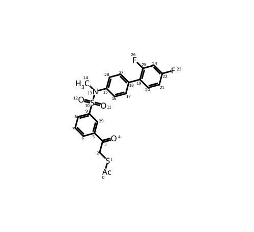 CC(=O)SCC(=O)c1cccc(S(=O)(=O)N(C)c2ccc(-c3ccc(F)cc3F)cc2)c1